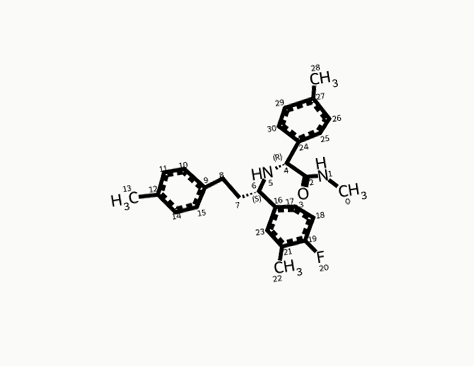 CNC(=O)[C@H](N[C@@H](CCc1ccc(C)cc1)c1ccc(F)c(C)c1)c1ccc(C)cc1